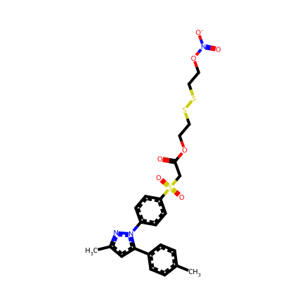 Cc1ccc(-c2cc(C)nn2-c2ccc(S(=O)(=O)CC(=O)OCCSSCCO[N+](=O)[O-])cc2)cc1